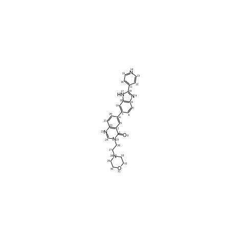 O=c1c2cc(-c3ccc4nc(-c5ccncc5)[nH]c4c3)ccc2ncn1CCN1CCOCC1